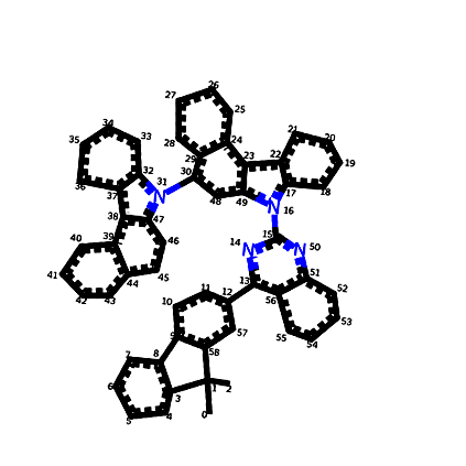 CC1(C)c2ccccc2-c2ccc(-c3nc(-n4c5ccccc5c5c6ccccc6c(-n6c7ccccc7c7c8ccccc8ccc76)cc54)nc4ccccc34)cc21